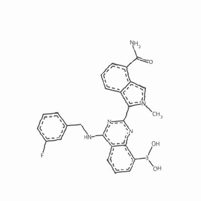 Cn1cc2c(C(N)=O)cccc2c1-c1nc(NCc2cccc(F)c2)c2cccc(B(O)O)c2n1